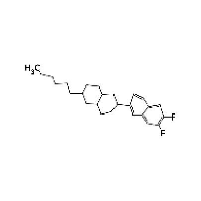 CCCCCCC1CCC2CC(c3ccc4cc(F)c(F)cc4c3)CCC2C1